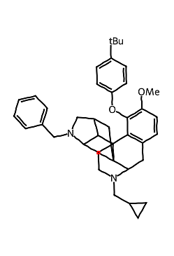 COc1ccc2c(c1Oc1ccc(C(C)(C)C)cc1)C13CCN(CC4CC4)C(C2)C12CCC1C3C(CN1Cc1ccccc1)C2